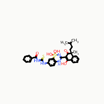 CC(C)CC[C@@]1(C)C(=O)C(C2=NS(O)(O)c3cc(NC(=S)NC(=O)c4ccccc4)ccc3N2)=C(O)c2ccccc21